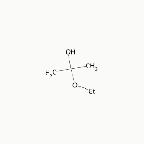 CCOC(C)(C)O